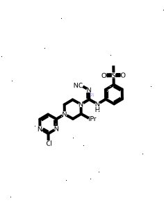 CC(C)C1CN(c2ccnc(Cl)n2)CCN1/C(=N\C#N)Nc1cccc(S(C)(=O)=O)c1